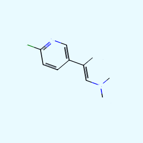 CN(C)/C=C(\C(=O)O)c1ccc(Cl)nc1